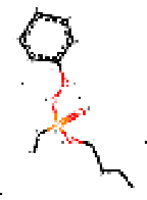 CCCCOP(=O)(CC)OOc1ccccc1